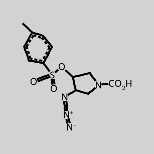 Cc1ccc(S(=O)(=O)OC2CN(C(=O)O)CC2N=[N+]=[N-])cc1